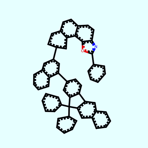 c1ccc(-c2nc3ccc4ccc5ccc(-c6cc(-c7ccc8c(c7)C(c7ccccc7)(c7ccccc7)c7cc9ccccc9cc7-8)c7ccccc7c6)cc5c4c3o2)cc1